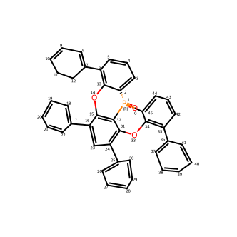 O=[P@@]12c3cccc(C4=CC=CCC4)c3Oc3c(-c4ccccc4)cc(-c4ccccc4)c(c31)Oc1c(-c3ccccc3)cccc12